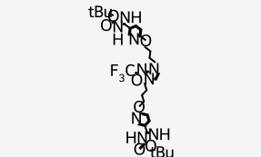 CC(C)(C)OC(=O)NC(=N)c1ccc(OCCCCn2ccn(CCCCOc3ccc(C(=N)NC(=O)OC(C)(C)C)cn3)c2=NC(=O)C(F)(F)F)nc1